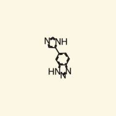 c1ncc(-c2ccc3nn[nH]c3c2)[nH]1